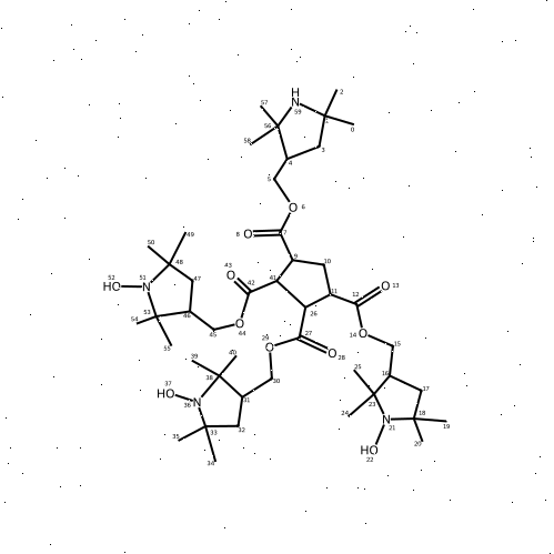 CC1(C)CC(COC(=O)C2CC(C(=O)OCC3CC(C)(C)N(O)C3(C)C)C(C(=O)OCC3CC(C)(C)N(O)C3(C)C)C2C(=O)OCC2CC(C)(C)N(O)C2(C)C)C(C)(C)N1